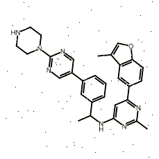 Cc1nc(NC(C)c2cccc(-c3cnc(N4CCNCC4)nc3)c2)cc(-c2ccc3occ(C)c3c2)n1